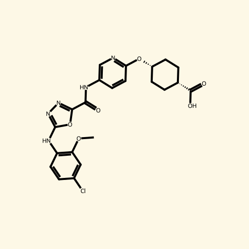 COc1cc(Cl)ccc1Nc1nnc(C(=O)Nc2ccc(O[C@H]3CC[C@@H](C(=O)O)CC3)nc2)o1